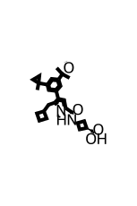 COC(C)(C)c1cc(-c2cc(C(=O)N[C@H]3C[C@H](C(=O)O)C3)n(C)c2CC2CCC2)cc(C2(C)CC2)c1